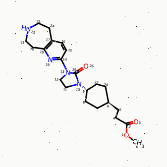 COC(=O)CC[C@H]1CC[C@H](N2CCN(c3ccc4c(n3)CCNCC4)C2=O)CC1